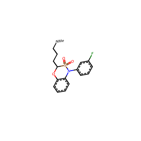 CNCCCC1Oc2ccccc2N(c2cccc(F)c2)S1(=O)=O